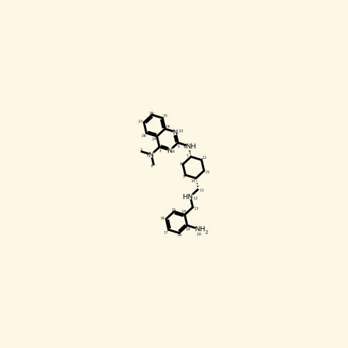 CN(C)c1nc(N[C@H]2CC[C@@H](CNCc3ccccc3N)CC2)nc2ccccc12